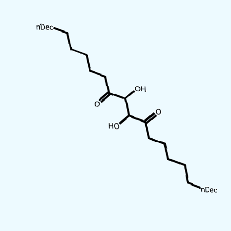 CCCCCCCCCCCCCCCC(=O)C(O)C(O)C(=O)CCCCCCCCCCCCCCC